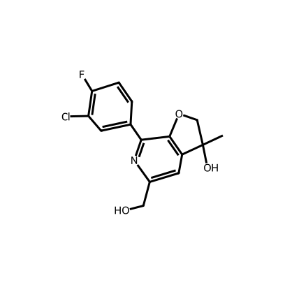 CC1(O)COc2c1cc(CO)nc2-c1ccc(F)c(Cl)c1